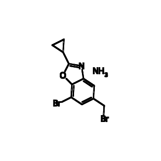 BrCc1cc(Br)c2oc(C3CC3)nc2c1.N